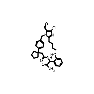 CCCCc1nc(Cl)c(C=O)n1Cc1ccc(C2(CC(=O)NC(C(N)=O)c3ccccc3O)CCCC2)cc1